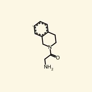 NCC(=O)N1CCc2cc[c]cc2C1